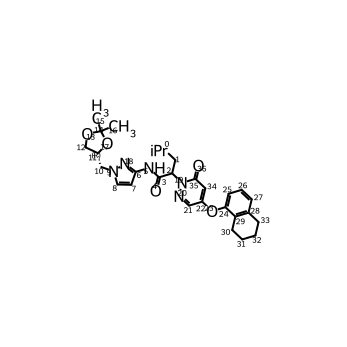 CC(C)CC(C(=O)Nc1ccn(C[C@@H]2COC(C)(C)O2)n1)n1ncc(Oc2cccc3c2CCCC3)cc1=O